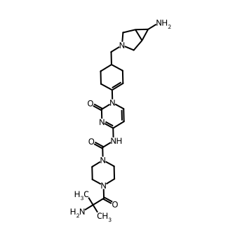 CC(C)(N)C(=O)N1CCN(C(=O)Nc2ccn(C3=CCC(CN4CC5C(N)C5C4)CC3)c(=O)n2)CC1